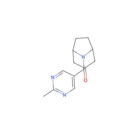 Cc1ncc(CN2C3CCC2CC(=O)C3)cn1